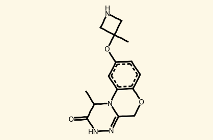 CC1C(=O)NN=C2COc3ccc(OC4(C)CNC4)cc3N21